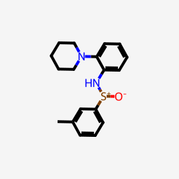 Cc1cccc([S+]([O-])Nc2ccccc2N2CCCCC2)c1